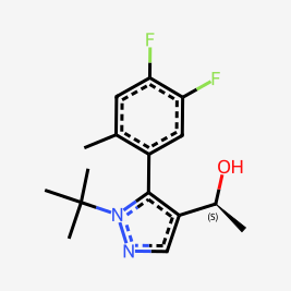 Cc1cc(F)c(F)cc1-c1c([C@H](C)O)cnn1C(C)(C)C